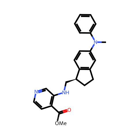 COC(=O)c1ccncc1NC[C@@H]1CCc2cc(N(C)c3ccccc3)ccc21